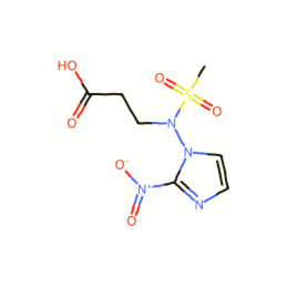 CS(=O)(=O)N(CCC(=O)O)n1ccnc1[N+](=O)[O-]